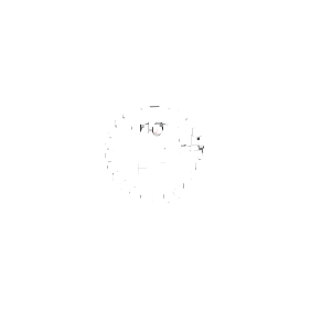 CCC(CC)(CO)COC(=O)C1C2C=CC(CCCCCCCCCCCCCCCCCCCCC2)C1C(=O)O